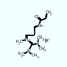 C=CC(=O)NCCC[N+](C)=C(N(C)C)N(C)C.[Br-]